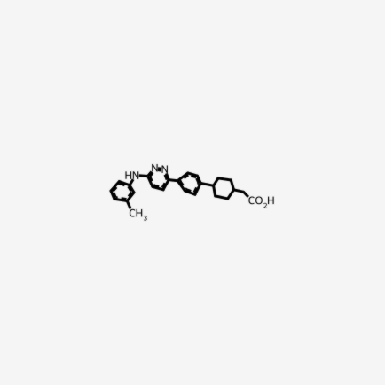 Cc1cccc(Nc2ccc(-c3ccc(C4CCC(CC(=O)O)CC4)cc3)nn2)c1